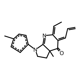 C=C/C=C1/C(=O)C2(C)CCN(c3ccc(C)cc3)C2=N/C1=C/C